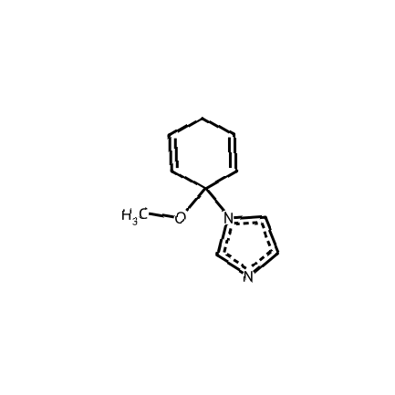 COC1(n2ccnc2)C=CCC=C1